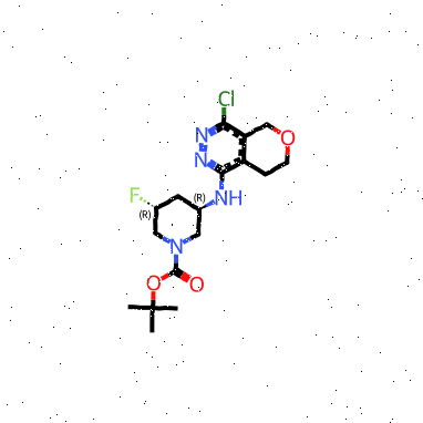 CC(C)(C)OC(=O)N1C[C@H](F)C[C@@H](Nc2nnc(Cl)c3c2CCOC3)C1